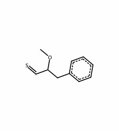 COC([C]=S)Cc1ccccc1